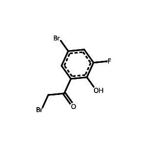 O=C(CBr)c1cc(Br)cc(F)c1O